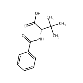 CC(C)(C)[C@H](NC(=O)c1ccccc1)C(=O)O